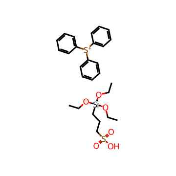 CCO[Si](CCCS(=O)(=O)O)(OCC)OCC.c1ccc([S+](c2ccccc2)c2ccccc2)cc1